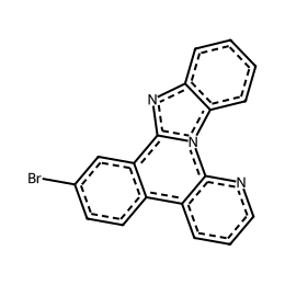 Brc1ccc2c3cccnc3n3c4ccccc4nc3c2c1